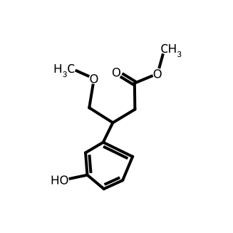 COCC(CC(=O)OC)c1cccc(O)c1